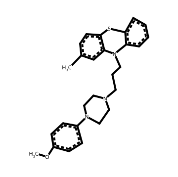 COc1ccc(N2CCN(CCCN3c4ccccc4Sc4ccc(C)cc43)CC2)cc1